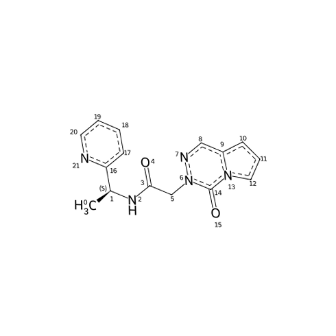 C[C@H](NC(=O)Cn1ncc2cccn2c1=O)c1ccccn1